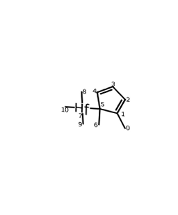 CC1=CC=C[C]1(C)[Hf]([CH3])([CH3])[CH3]